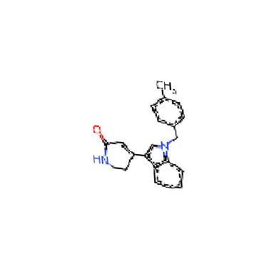 Cc1ccc(Cn2cc(C3=CC(=O)NCC3)c3ccccc32)cc1